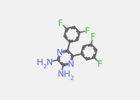 Nc1nc(-c2cc(F)cc(F)c2)c(-c2cc(F)cc(F)c2)nc1N